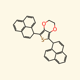 C1=CC(c2sc(C3C=Cc4cccc5cccc3c45)c3c2OCCO3)c2cccc3cccc1c23